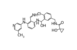 Cc1cncc(Nc2cccc(NC(O)c3cc(CNC(=O)C4(O)CC4)ccc3Cl)c2C=N)c1